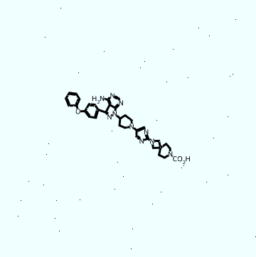 Nc1ncnc2c1c(-c1ccc(Oc3ccccc3)cc1)nn2C1CCN(c2cnc(N3CC4(CCN(C(=O)O)CC4)C3)nc2)CC1